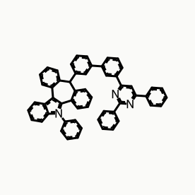 c1ccc(-c2cc(-c3cccc(-c4cccc(C5c6ccccc6-c6c(n(-c7ccccc7)c7ccccc67)-c6ccccc65)c4)c3)nc(-c3ccccc3)n2)cc1